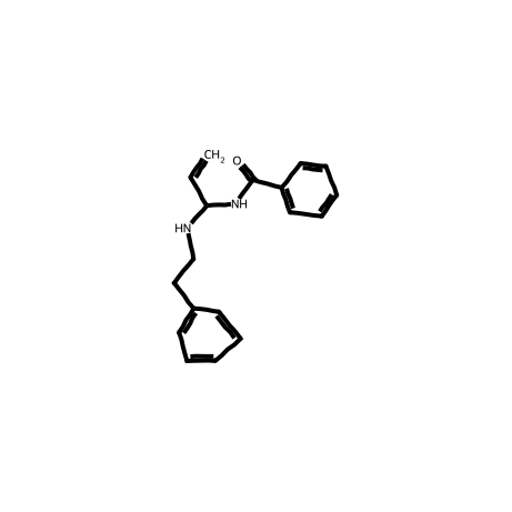 C=CC(NCCc1ccccc1)NC(=O)c1ccccc1